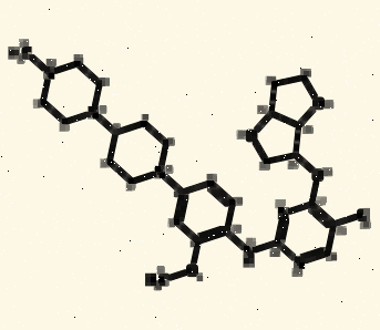 COc1cc(N2CCC(N3CCN(C)CC3)CC2)ccc1Nc1ncc(Cl)c(OC2COC3CCOC32)n1